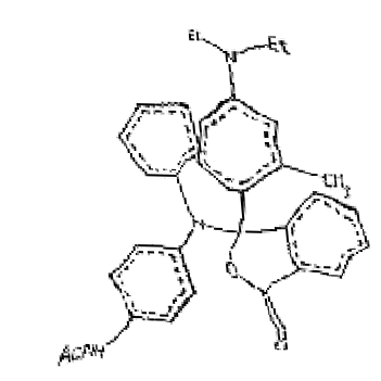 CCN(CC)c1ccc(C2(N(c3ccccc3)c3ccc(NC(C)=O)cc3)OC(=O)c3ccccc32)c(C)c1